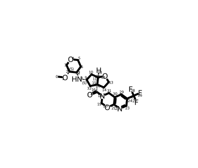 CO[C@@H]1COCC[C@@H]1N[C@@H]1C[C@H]2OCC[C@@]2(C(=O)N2COc3ncc(C(F)(F)F)cc3C2)C1